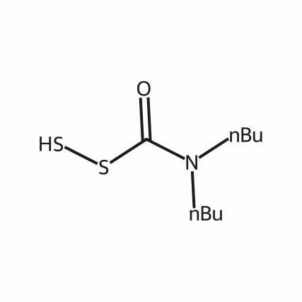 CCCCN(CCCC)C(=O)SS